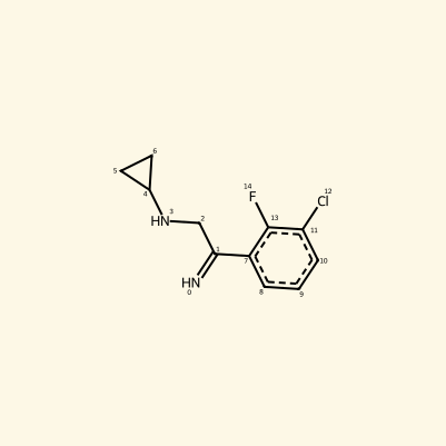 N=C(CNC1CC1)c1cccc(Cl)c1F